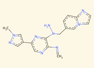 C=Nc1ncc(-c2cnn(C)c2)nc1N(N)Cc1ccc2nccn2c1